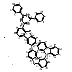 c1ccc(-c2nc(-c3ccccc3)nc(-c3cccc4c3sc3ccc(-c5ccc6sc7cccc(-n8c9ccccc9c9ccccc98)c7c6c5)cc34)n2)cc1